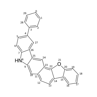 c1ccc(-c2ccc3[nH]c4cc5ccc6c7ccccc7oc6c5cc4c3c2)cc1